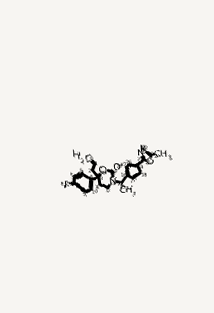 C=CCC1(c2ccc(F)cc2)CCN([C@@H](C)c2ccc(-c3nnc(C)o3)cc2)C(=O)O1